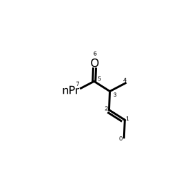 CC=CC(C)C(=O)CCC